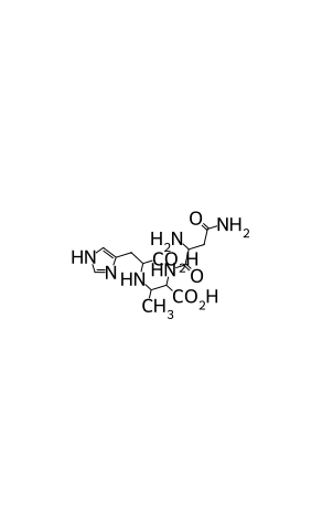 CC(NC(Cc1c[nH]cn1)C(=O)O)C(NC(=O)C(N)CC(N)=O)C(=O)O